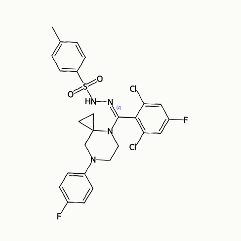 Cc1ccc(S(=O)(=O)N/N=C(/c2c(Cl)cc(F)cc2Cl)N2CCN(c3ccc(F)cc3)CC23CC3)cc1